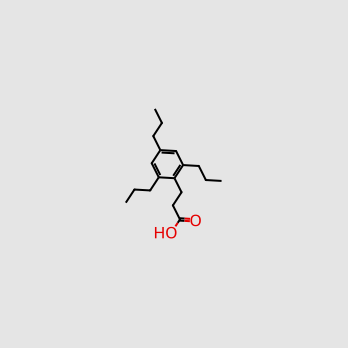 CCCc1cc(CCC)c(CCC(=O)O)c(CCC)c1